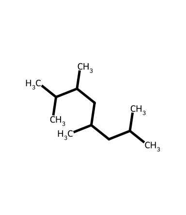 CC(C)CC(C)CC(C)C(C)C